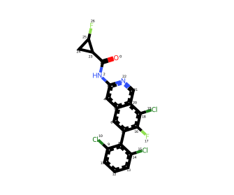 O=C(Nc1cc2cc(-c3c(Cl)cccc3Cl)c(F)c(Cl)c2cn1)C1CC1F